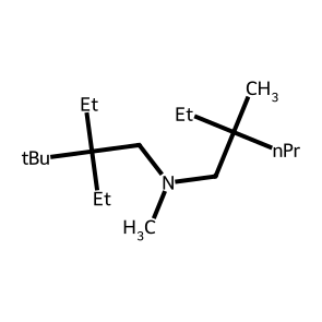 CCCC(C)(CC)CN(C)CC(CC)(CC)C(C)(C)C